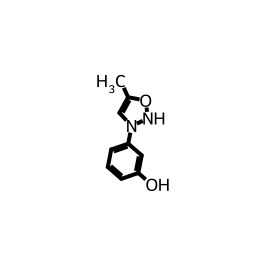 CC1=CN(c2cccc(O)c2)NO1